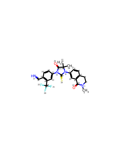 CN1CCc2ccc(N3C(=S)N(c4ccc(C=N)c(C(F)(F)F)c4)C(=O)C3(C)C)cc2C1=O